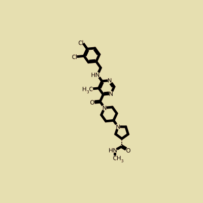 CNC(=O)[C@H]1CCN(C2CCN(C(=O)c3ncnc(NCc4ccc(Cl)c(Cl)c4)c3C)CC2)C1